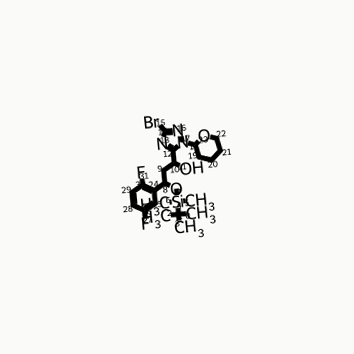 CC(C)(C)[Si](C)(C)OC(CC(O)c1nc(Br)nn1C1CCCCO1)c1cc(F)ccc1F